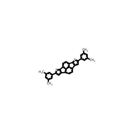 Cc1cc(C)cc(-c2cc3c(s2)-c2ccc4c5c(ccc-3c25)-c2cc(-c3cc(C)cc(C)c3)sc2-4)c1